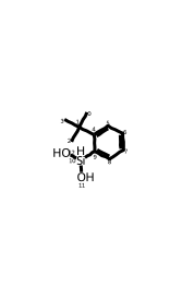 CC(C)(C)c1ccccc1[SiH](O)O